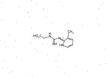 Cc1ccc[nH]/c1=N\C(=N)NCC(=O)O